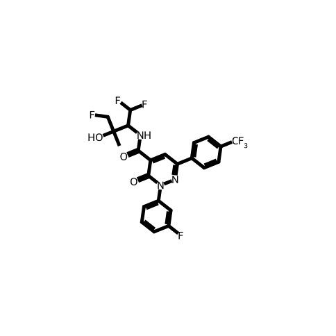 CC(O)(CF)C(NC(=O)c1cc(-c2ccc(C(F)(F)F)cc2)nn(-c2cccc(F)c2)c1=O)C(F)F